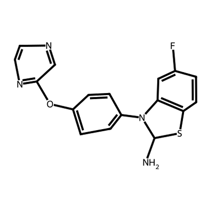 NC1Sc2ccc(F)cc2N1c1ccc(Oc2cnccn2)cc1